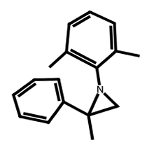 Cc1cccc(C)c1N1CC1(C)c1ccccc1